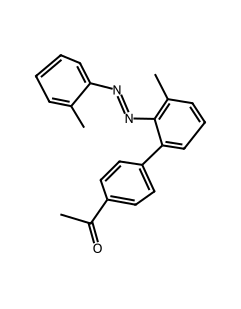 CC(=O)c1ccc(-c2cccc(C)c2/N=N/c2ccccc2C)cc1